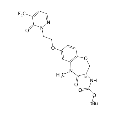 CN1C(=O)[C@@H](NC(=O)OC(C)(C)C)COc2ccc(OCCn3nccc(C(F)(F)F)c3=O)cc21